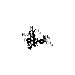 Cc1nn(C)c2cc(-c3nc(-c4cc5n(n4)[C@@H](C)CN[C@@H]5C)c(-c4c(F)cc(F)cc4N=S4(=O)CCC4)c4c(F)csc34)ccc12